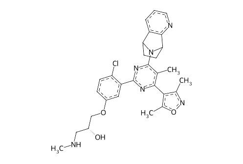 CNC[C@@H](O)COc1ccc(Cl)c(-c2nc(-c3c(C)noc3C)c(C)c(N3C4CCC3c3ncccc34)n2)c1